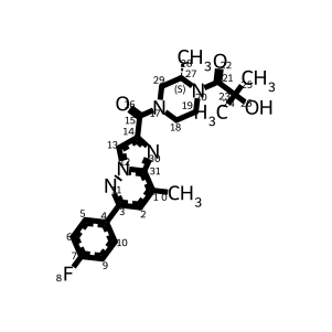 Cc1cc(-c2ccc(F)cc2)nn2cc(C(=O)N3CCN(C(=O)C(C)(C)O)[C@@H](C)C3)nc12